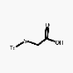 O=C(O)C[S][Tc]